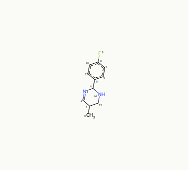 CC1C=NC(c2ccc(F)cc2)NC1